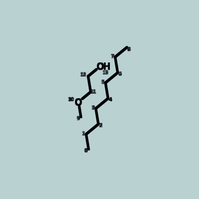 CCCCCCCCC.COCCO